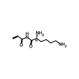 C=CC(=O)NC(=O)[C@@H](N)CCCCN